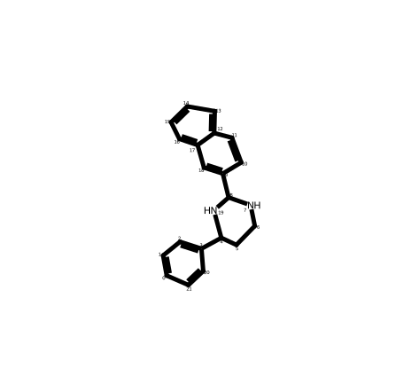 c1ccc(C2CCNC(c3ccc4ccccc4c3)N2)cc1